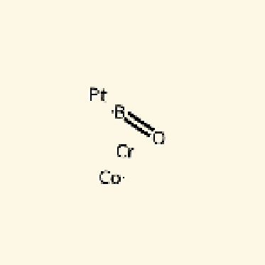 [B]=O.[Co].[Cr].[Pt]